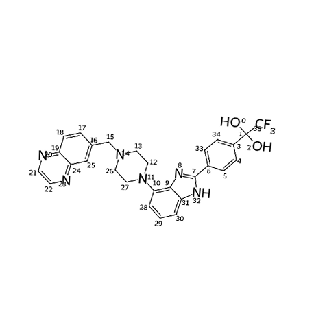 OC(O)(c1ccc(-c2nc3c(N4CCN(Cc5ccc6nccnc6c5)CC4)cccc3[nH]2)cc1)C(F)(F)F